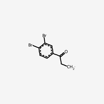 [CH2]CC(=O)c1ccc(Br)c(Br)c1